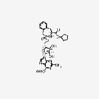 COc1nc(N)nc2c1ncn2[C@@H]1O[C@H](CO[P@]2(=O)N[C@H](C(=O)OC3CCCC3)Cc3ccccc3S2)[C@@H](O)[C@@]1(C)O